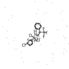 O=S(=O)(N[C@@H](CO)[C@@H](c1ccccc1)C(F)(F)F)c1ccc(Cl)s1